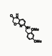 COc1ccc(CNc2ccc3c(n2)OCC(=O)N3)c(OC)c1